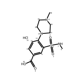 CNS(=O)(=O)c1cc(C(=O)O)ccc1N1CCN(C)CC1.Cl